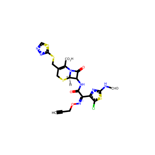 C#CCO/N=C(\C(=O)NC1C(=O)N2C(C(=O)O)=C(CSc3nncs3)CS[C@H]12)c1nc(NC=O)sc1Cl